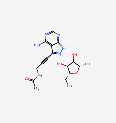 Nc1ncnc2[nH]nc(C#CCNC(=O)C(F)(F)F)c12.OC[C@H]1O[C@@H](O)[C@H](O)[C@@H]1O